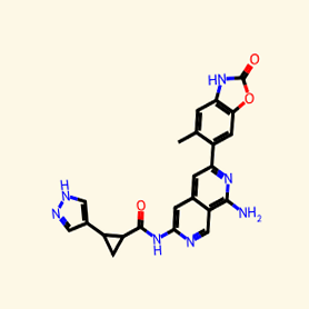 Cc1cc2[nH]c(=O)oc2cc1-c1cc2cc(NC(=O)C3CC3c3cn[nH]c3)ncc2c(N)n1